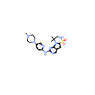 CN1CCN(c2ccc(Nc3ncc4cc5n(c4n3)C(C)(C)CNS5(=O)=O)nc2)CC1